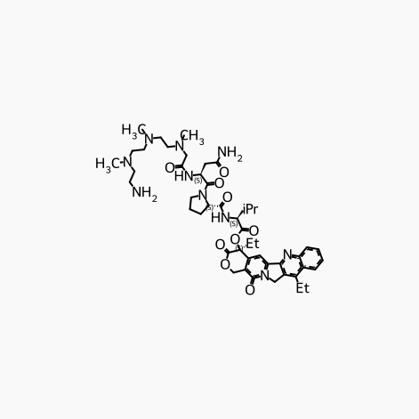 CCc1c2c(nc3ccccc13)-c1cc3c(c(=O)n1C2)COC(=O)[C@@]3(CC)OC(=O)[C@@H](NC(=O)[C@@H]1CCCN1C(=O)[C@H](CC(N)=O)NC(=O)CN(C)CCN(C)CCN(C)CCN)C(C)C